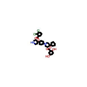 O=C(OC1(c2ccccc2)CCN(c2ccc(C3(OC(=O)c4cccc(Cl)c4Cl)CCNCC3)cc2)CC1)c1cc(O)ccc1O